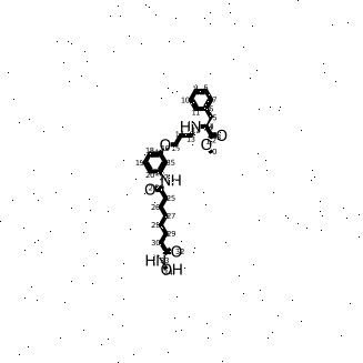 COC(=O)[C@H](Cc1ccccc1)NCCCOc1cccc(NC(=O)CCCCCCC(=O)NO)c1